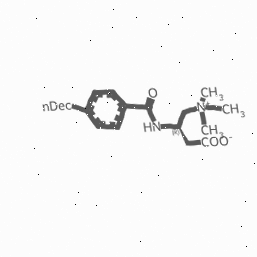 CCCCCCCCCCc1ccc(C(=O)N[C@H](CC(=O)[O-])C[N+](C)(C)C)cc1